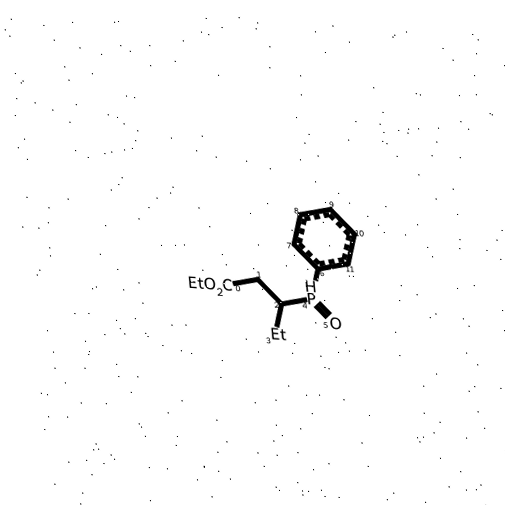 CCOC(=O)CC(CC)[PH](=O)c1ccccc1